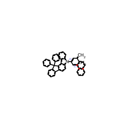 C=C(/C=C(\C=C(/C)c1ccccc1)n1c2ccccc2c2c3c(ccc21)-c1ccccc1C3(c1ccccc1)c1ccccc1)c1ccccc1